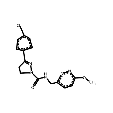 COc1ccc(CNC(=O)N2CCC(c3ccc(Cl)cc3)=N2)nn1